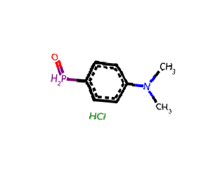 CN(C)c1ccc([PH2]=O)cc1.Cl